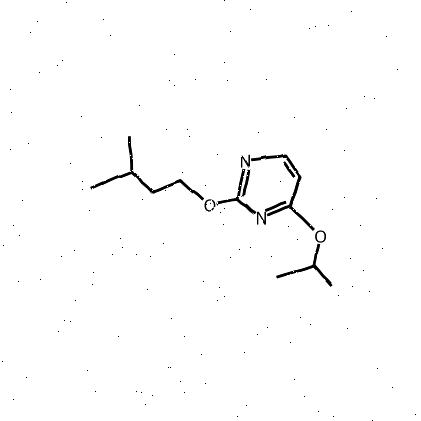 CC(C)CCOc1nccc(OC(C)C)n1